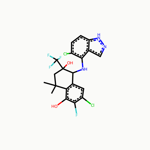 CC1(C)CC(O)(C(F)(F)F)C(Nc2c(Cl)ccc3[nH]ncc23)c2cc(Cl)c(F)c(O)c21